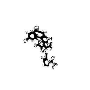 CC(C)c1c2c(nn1CC1CCCN1C(=O)N(C)C)C(=O)N(c1cccc(Cl)c1)C21C(=O)Nc2cc(Cl)ccc21